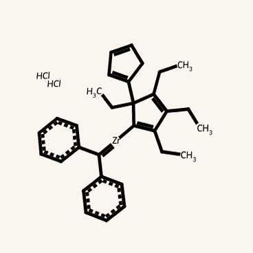 CCC1=C(CC)C(CC)(C2=CC=CC2)[C]([Zr]=[C](c2ccccc2)c2ccccc2)=C1CC.Cl.Cl